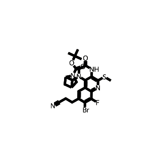 CSc1nc2c(F)c(Br)c(CCC#N)cc2c2c1NC(=O)CN2C1C2CC1N(C(=O)OC(C)(C)C)C2